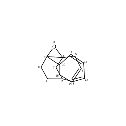 [CH]1CC2C=CCC3(C2)OC13C1C=CC=CC1